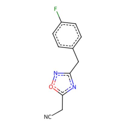 N#CCc1nc(Cc2ccc(F)cc2)no1